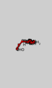 CC(C)(CCCCCCc1cccc(CCCCCCC2(OC=O)CC2)c1)C(=O)CCNC(=O)CCNC(=O)C(O)C(C)(C)COP(=O)(O)OP(=O)(O)OCC1OC(n2cnc3c(N)ncnc32)C(O)C1OP(=O)(O)O